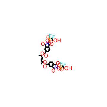 CC(C=CC(C)OC(=O)c1ccc2c(c1)C(=O)N(OS(=O)(=O)C(F)(F)CO)C2=O)OC(=O)c1ccc2c(c1)C(=O)N(OS(=O)(=O)C(F)(F)CO)C2=O